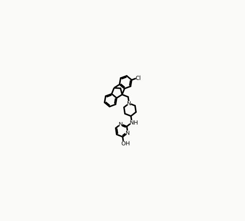 Oc1ccnc(NC2CCN(CC34CC(c5ccccc53)c3ccc(Cl)cc34)CC2)n1